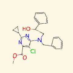 COC(=O)c1nc(C2CC2)nc(N(Cc2ccccc2)CC(O)c2ccccc2)c1Cl